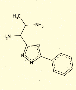 CC(N)C(N)c1nnc(-c2ccccc2)o1